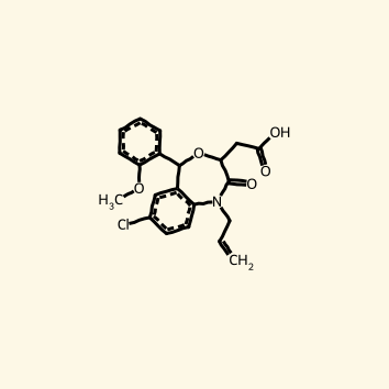 C=CCN1C(=O)C(CC(=O)O)OC(c2ccccc2OC)c2cc(Cl)ccc21